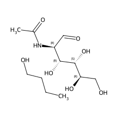 CC(=O)N[C@@H](C=O)[C@@H](O)[C@H](O)[C@H](O)CO.CCCCO